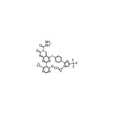 COc1ncnc(C2CC2)c1-c1nc(Cc2ccc(-c3nc(C(F)(F)F)cn3C3CC3)cc2)c2c(n1)=NC(=O)C(C(=O)NN)C=2